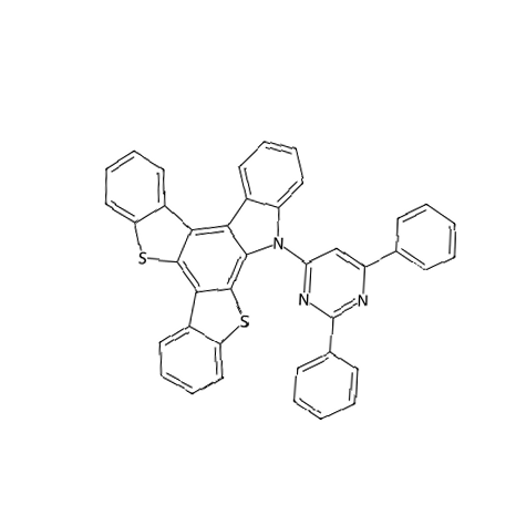 c1ccc(-c2cc(-n3c4ccccc4c4c5c6ccccc6sc5c5c6ccccc6sc5c43)nc(-c3ccccc3)n2)cc1